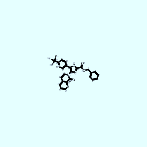 O=C(OCc1ccccc1)c1nc(-n2ccc3cccnc3c2=O)c(-c2ccc(C(F)(F)F)nc2)o1